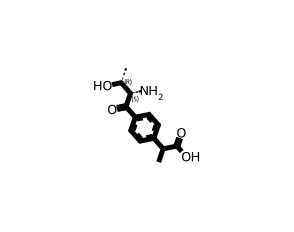 CC(C(=O)O)c1ccc(C(=O)[C@@H](N)[C@@H](C)O)cc1